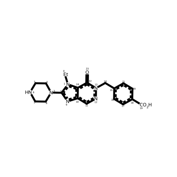 CCn1c(N2CCNCC2)nc2cnn(Cc3ccc(C(=O)O)cc3)c(=O)c21